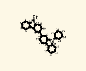 CCn1c2ccccc2c2cc(-c3ccc4c5ccccc5n(-c5ccccc5)c4c3)ccc21